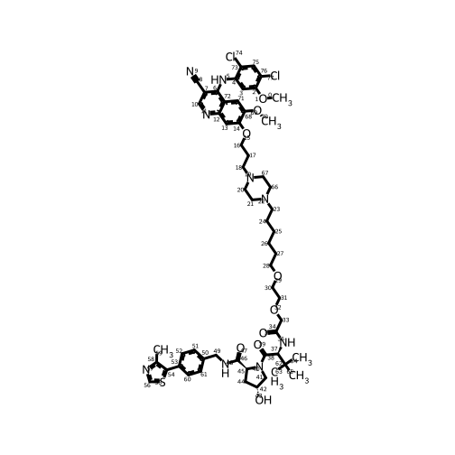 COc1cc(Nc2c(C#N)cnc3cc(OCCCN4CCN(CCCCCCOCCOCC(=O)N[C@H](C(=O)N5C[C@H](O)C[C@H]5C(=O)NCc5ccc(-c6scnc6C)cc5)C(C)(C)C)CC4)c(OC)cc23)c(Cl)cc1Cl